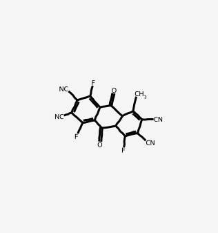 CC1=C(C#N)C(C#N)=C(F)C2C(=O)c3c(F)c(C#N)c(C#N)c(F)c3C(=O)C12